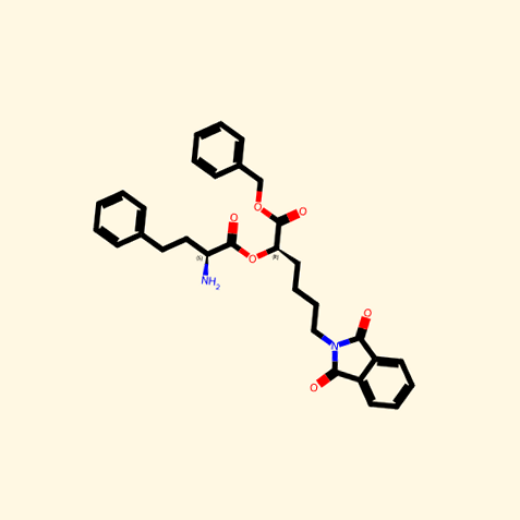 N[C@@H](CCc1ccccc1)C(=O)O[C@H](CCCCN1C(=O)c2ccccc2C1=O)C(=O)OCc1ccccc1